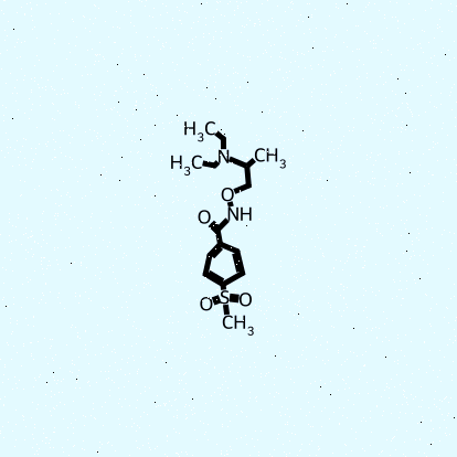 CCN(CC)C(C)CONC(=O)c1ccc(S(C)(=O)=O)cc1